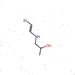 CCC=CNCC(C)O